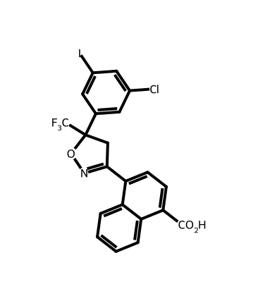 O=C(O)c1ccc(C2=NOC(c3cc(Cl)cc(I)c3)(C(F)(F)F)C2)c2ccccc12